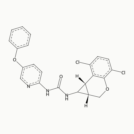 O=C(Nc1ccc(Oc2ccccc2)cn1)NC1[C@H]2COc3c(Cl)ccc(Cl)c3[C@@H]12